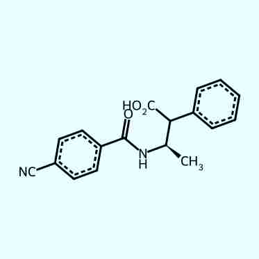 C[C@@H](NC(=O)c1ccc(C#N)cc1)C(C(=O)O)c1ccccc1